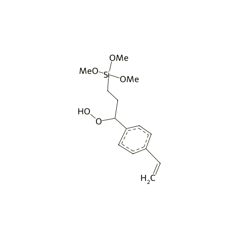 C=Cc1ccc(C(CC[Si](OC)(OC)OC)OO)cc1